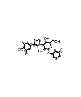 OCC1O[C@H](Sc2cncc(Cl)c2)C(O)C(n2cc(-c3cc(F)c(Cl)c(F)c3)nn2)[C@H]1O